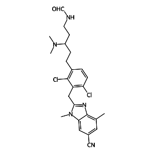 Cc1cc(C#N)cc2c1nc(Cc1c(Cl)ccc(CCC(CCNC=O)N(C)C)c1Cl)n2C